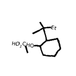 CC(=O)O.CCC(C)(C)C1CCCCC1O